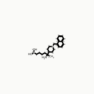 CC(N)(CCCCB(O)O)C1CCN(Cc2cccc3ccccc23)CC1